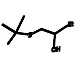 CCC(O)CSC(C)(C)C